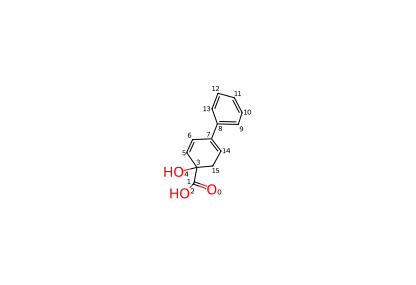 O=C(O)C1(O)C=CC(c2ccccc2)=CC1